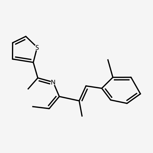 C/C=C(\N=C(/C)c1cccs1)C(/C)=C/c1ccccc1C